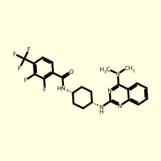 CN(C)c1nc(N[C@H]2CC[C@@H](NC(=O)c3ccc(C(F)(F)F)c(F)c3F)CC2)nc2ccccc12